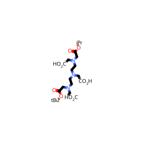 CC(C)OC(=O)CN(CCN(CCN(CC(=O)O)CC(=O)OC(C)(C)C)CC(=O)O)CC(=O)O